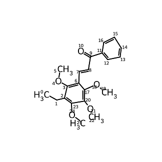 CCc1c(OC)c(C=CC(=O)c2ccccc2)c(OC)c(OC)c1OC